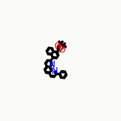 CC1(C)OB(c2ccc(-c3ccc4ccc5ccc(-c6ccccc6)nc5c4n3)c3ccccc23)OC1(C)C